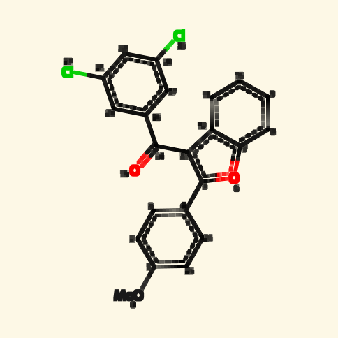 COc1ccc(-c2oc3ccccc3c2C(=O)c2cc(Cl)cc(Cl)c2)cc1